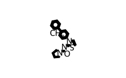 Cc1ccccc1-c1ccc(-n2ccs/c2=N\C(=O)N2CCCC2)cc1